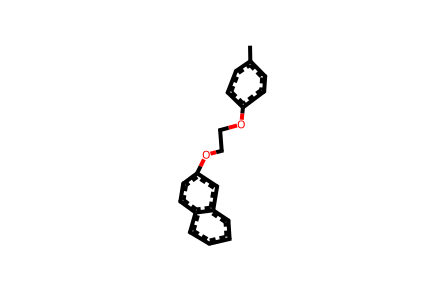 Cc1ccc(OCCOc2ccc3ccccc3c2)cc1